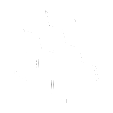 C=CC(=O)Oc1ccc(Br)c(Br)c1Br.ClC=Cc1ccccc1